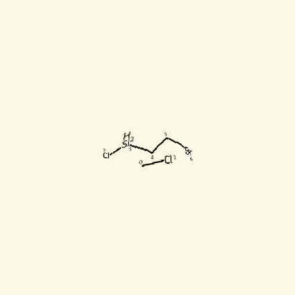 CCl.Cl[SiH2]CCBr